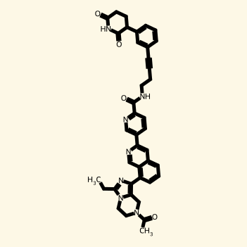 CCc1nc(-c2cccc3cc(-c4ccc(C(=O)NCCC#Cc5cccc(C6CCC(=O)NC6=O)c5)nc4)ncc23)c2n1CCN(C(C)=O)C2